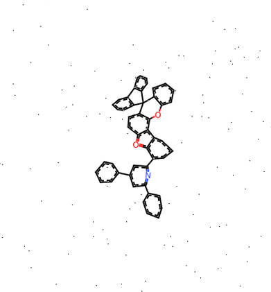 c1ccc(-c2cc(-c3ccccc3)nc(-c3cccc4c3oc3ccc5c(c34)Oc3ccccc3C53c4ccccc4-c4ccccc43)c2)cc1